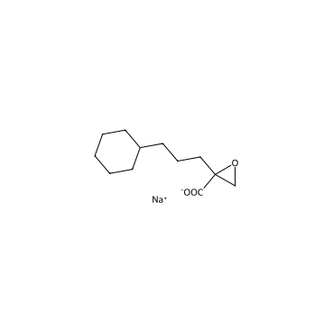 O=C([O-])C1(CCCC2CCCCC2)CO1.[Na+]